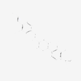 C/C=C/c1ccc(COC2CCC(c3ccc(C4CO4)c(F)c3F)CC2)cc1F